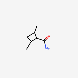 CC1CC(C)C1C([NH])=O